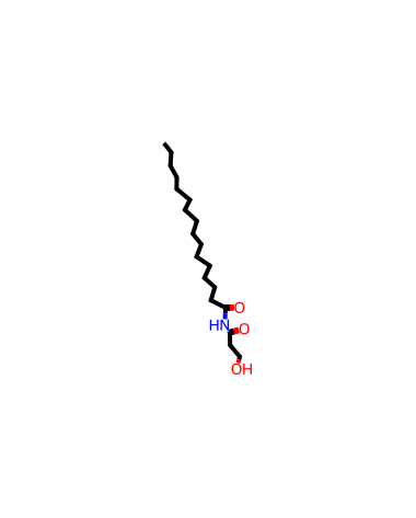 CCCCCCCCCCCCCCCC(=O)NC(=O)CCO